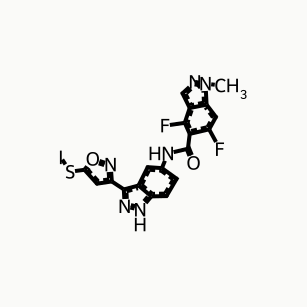 Cn1ncc2c(F)c(C(=O)Nc3ccc4[nH]nc(-c5cc(SI)on5)c4c3)c(F)cc21